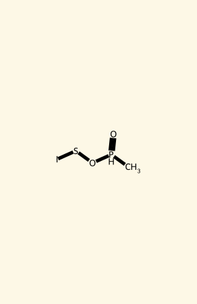 C[PH](=O)OSI